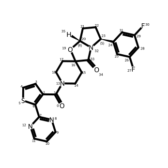 O=C(c1ccsc1-c1ncccn1)N1CCC2(CC1)O[C@@H]1CC[C@@H](c3cc(F)cc(F)c3)N1C2=O